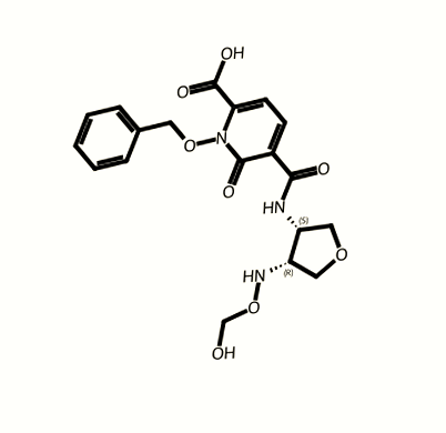 O=C(N[C@@H]1COC[C@@H]1NOCO)c1ccc(C(=O)O)n(OCc2ccccc2)c1=O